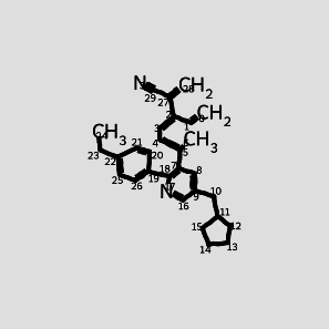 C=C/C(=C\C=C(/C)c1cc(CC2CCCC2)cnc1-c1ccc(CC)cc1)C(=C)C#N